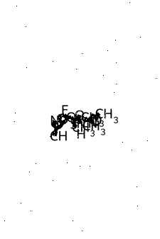 C#Cc1cnc2cc(F)c(OC(SC)C(=O)NC(C)(C)c3cc(C)on3)cc2c1